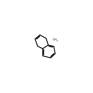 C.C1=CCc2ccccc2C1